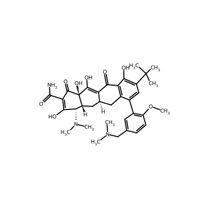 COc1ccc(CN(C)C)cc1-c1cc(C(C)(C)C)c(O)c2c1C[C@H]1C[C@@H]3[C@H](N(C)C)C(O)=C(C(N)=O)C(=O)[C@]3(O)C(O)=C1C2=O